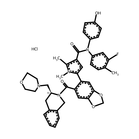 Cc1ccc(N(C(=O)c2cc(-c3cc4c(cc3C(=O)N3Cc5ccccc5C[C@H]3CN3CCOCC3)OCO4)n(C)c2C)c2ccc(O)cc2)cc1F.Cl